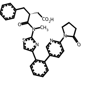 CN(C(=O)[C@@H](CC(=O)O)Cc1ccccc1)c1nc(-c2ccccc2-c2ccc(N3CCCC3=O)nc2)cs1